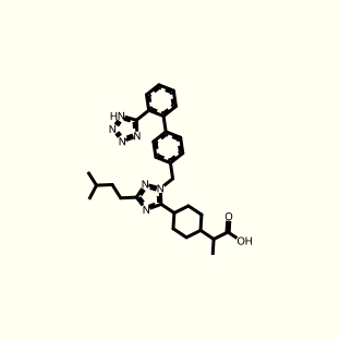 CC(C)CCc1nc(C2CCC(C(C)C(=O)O)CC2)n(Cc2ccc(-c3ccccc3-c3nnn[nH]3)cc2)n1